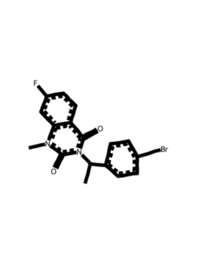 CC(c1ccc(Br)cc1)n1c(=O)c2ccc(F)cc2n(C)c1=O